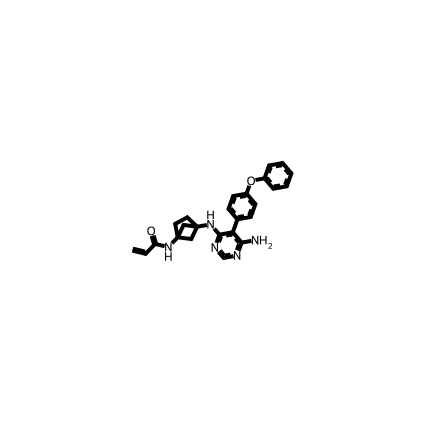 C=CC(=O)NC12CCC(Nc3ncnc(N)c3-c3ccc(Oc4ccccc4)cc3)(C1)C2